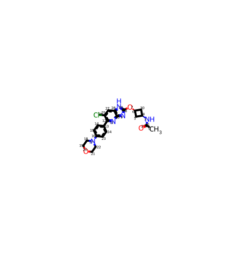 CC(=O)N[C@H]1C[C@@H](Oc2nc3nc(-c4ccc(N5CCOCC5)cc4)c(Cl)cc3[nH]2)C1